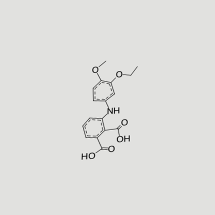 CCOc1cc(Nc2cccc(C(=O)O)c2C(=O)O)ccc1OC